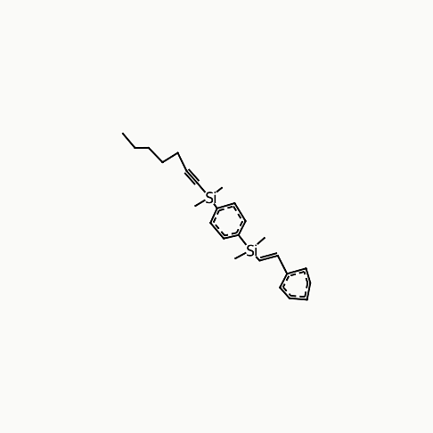 CCCCCC#C[Si](C)(C)c1ccc([Si](C)(C)/C=C/c2ccccc2)cc1